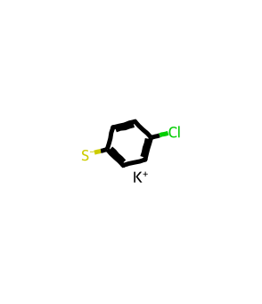 [K+].[S-]c1ccc(Cl)cc1